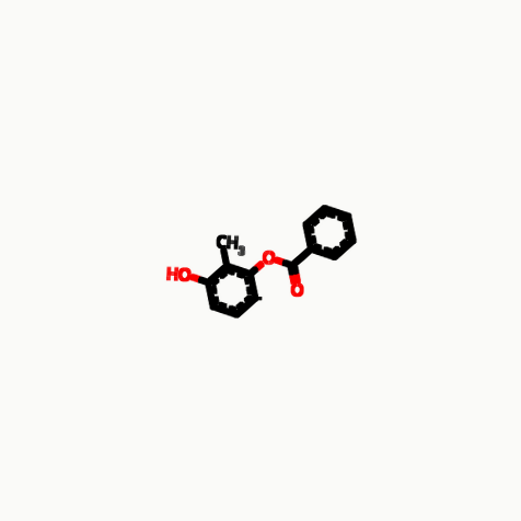 Cc1c(OC(=O)c2ccccc2)[c]ccc1O